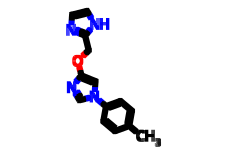 Cc1ccc(-n2cnc(OCc3ncc[nH]3)c2)cc1